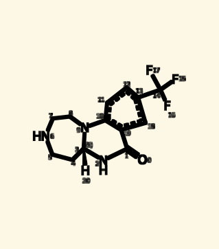 O=C1N[C@@H]2CCNCCN2c2ccc(C(F)(F)F)cc21